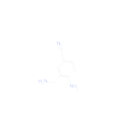 N#Cc1c[c]c(N)c(CN)c1